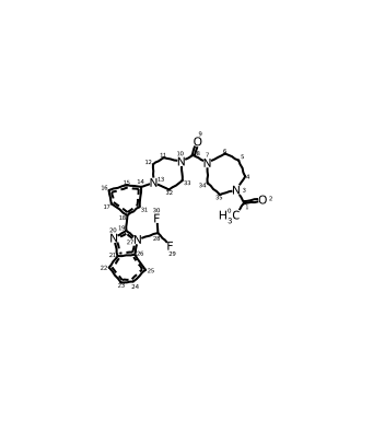 CC(=O)N1CCCN(C(=O)N2CCN(c3cccc(-c4nc5ccccc5n4C(F)F)c3)CC2)CC1